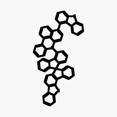 c1ccc(-c2ccccc2N(c2ccc(-c3cccc4sc5ccccc5c34)cc2)c2cccc3c2-c2ccccc2C32c3ccccc3-c3c2ccc2c3sc3ccccc32)cc1